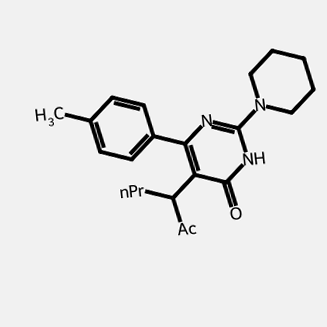 CCCC(C(C)=O)c1c(-c2ccc(C)cc2)nc(N2CCCCC2)[nH]c1=O